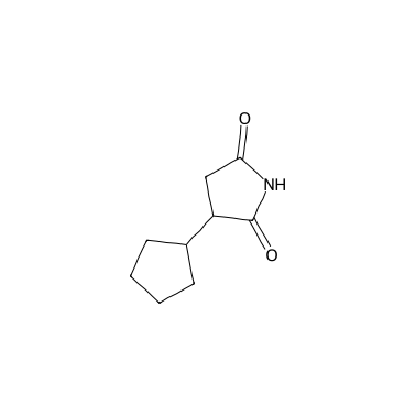 O=C1CC(C2CCCC2)C(=O)N1